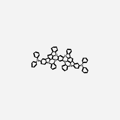 c1ccc(N(c2ccccc2)c2ccc3c(c2)c2cc4c5ccccc5n5c4c4c2n3-c2ccccc2B4c2cc3c(cc2-5)-n2c4ccccc4c4cc5c6cc(N(c7ccccc7)c7ccccc7)ccc6n6c5c(c42)B3c2ccccc2-6)cc1